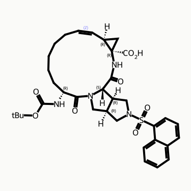 CC(C)(C)OC(=O)N[C@@H]1CCCCC/C=C\[C@H]2C[C@@]2(C(=O)O)NC(=O)[C@@H]2[C@H]3CN(S(=O)(=O)c4cccc5ccccc45)C[C@H]3CN2C1=O